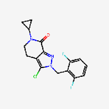 O=C1c2nn(Cc3c(F)cccc3F)c(Cl)c2CCN1C1CC1